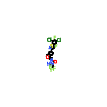 O=C(NCC(F)(F)F)N1CC2(C1)OCc1cc(C3=NSC(F)(c4cc(Cl)c(F)c(Cl)c4)C3)ccc12